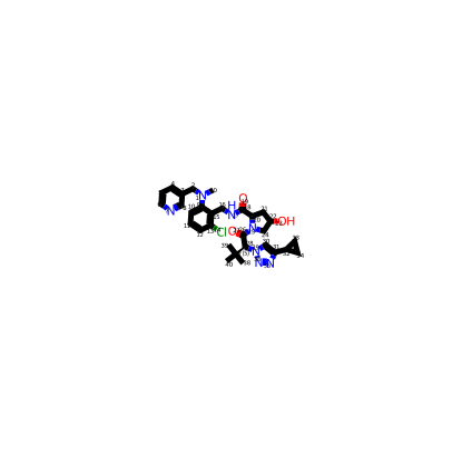 CN(Cc1cccnc1)c1cccc(Cl)c1CNC(=O)C1CC(O)CN1C(=O)[C@@H](n1cc(C2CC2)nn1)C(C)(C)C